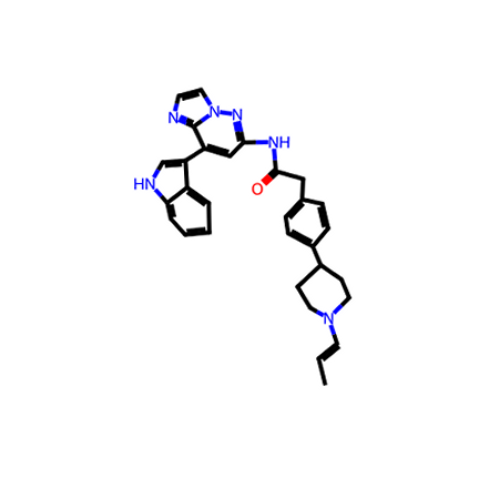 CC=CN1CCC(c2ccc(CC(=O)Nc3cc(-c4c[nH]c5ccccc45)c4nccn4n3)cc2)CC1